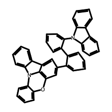 c1ccc2c(c1)Oc1cc(-c3ccccc3-c3ccccc3-n3c4ccccc4c4ccccc43)cc3c4ccccc4n-2c13